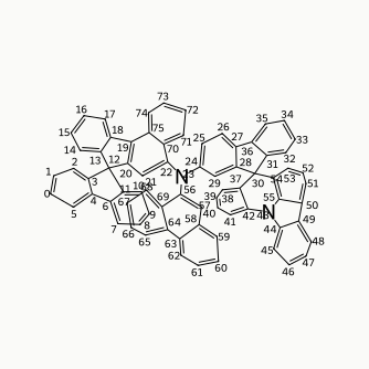 c1ccc2c(c1)-c1ccccc1C21c2ccccc2-c2c1cc(N(c1ccc3c(c1)C1(c4ccccc4-3)c3ccccc3-n3c4ccccc4c4cccc1c43)c1cc3ccccc3c3ccccc13)c1ccccc21